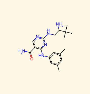 Cc1cc(C)cc(Nc2nc(NCC(N)C(C)(C)C)ncc2C(N)=O)c1